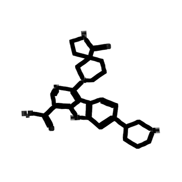 NC(=O)c1cnc(N2CCCC3(CCNC3=O)C2)c2c1[nH]c1cc(C3CCCNC3)ccc12